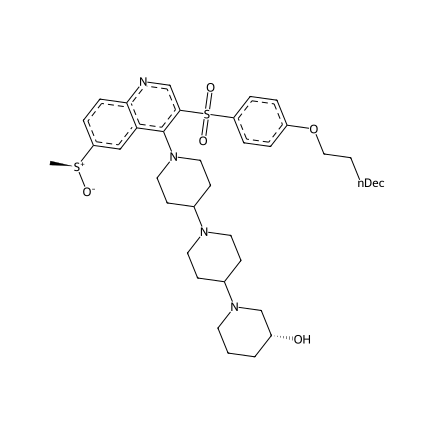 CCCCCCCCCCCCOc1ccc(S(=O)(=O)c2cnc3ccc([S@+](C)[O-])cc3c2N2CCC(N3CCC(N4CCC[C@@H](O)C4)CC3)CC2)cc1